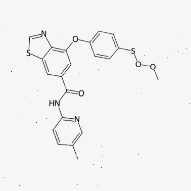 COOSc1ccc(Oc2cc(C(=O)Nc3ccc(C)cn3)cc3scnc23)cc1